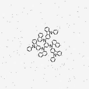 c1ccc(-n2c3ccccc3c3cc(N(c4cc(N(c5ccc6c(c5)c5ccccc5n6-c5ccccc5)c5cccc6ccccc56)cc(N(c5ccc6c(c5)c5ccccc5n6-c5ccccc5)c5cccc6ccccc56)c4)c4cccc5ccccc45)ccc32)cc1